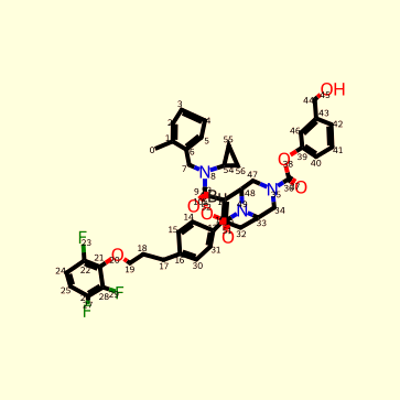 Cc1ccccc1CN(C(=O)C1=C(c2ccc(CCCOc3c(F)ccc(F)c3F)cc2)CC2CN(C(=O)Oc3cccc(CO)c3)CC1N2C(=O)OC(C)(C)C)C1CC1